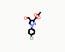 CC1OC(c2nn(-c3ccc(Cl)cc3)cc2C=O)O1